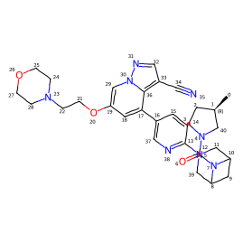 C[C@@H]1CCN(C(=O)N2C3CC2CN(c2ccc(-c4cc(OCCN5CCOCC5)cn5ncc(C#N)c45)cn2)C3)C1